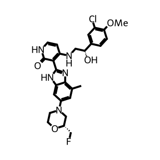 COc1ccc([C@H](O)CNc2cc[nH]c(=O)c2-c2nc3c(C)cc(N4CCO[C@@H](CF)C4)cc3[nH]2)cc1Cl